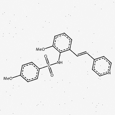 COc1ccc(S(=O)(=O)Nc2c(/C=C/c3ccncc3)cccc2OC)cc1